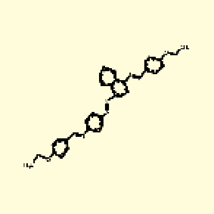 CCOc1ccc(C=Nc2ccc(N=Nc3ccc(N=Cc4ccc(OCC)cc4)c4ccccc34)cc2)cc1